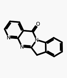 O=c1c2cccnc2nc2n1-c1ccccc1C2